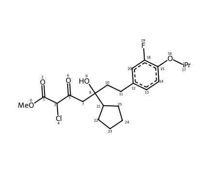 COC(=O)C(Cl)C(=O)CC(O)(CCc1ccc(OC(C)C)c(F)c1)C1CCCC1